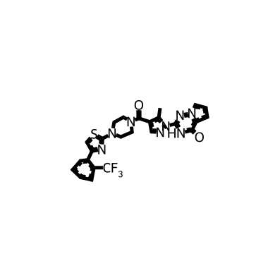 Cc1c(C(=O)N2CCN(c3nc(-c4ccccc4C(F)(F)F)cs3)CC2)cnn1-c1nn2cccc2c(=O)[nH]1